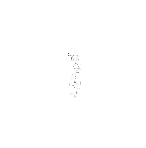 O=C(NCC(F)(F)F)Nc1cccc(-c2cnc3cc(-c4nccc(N5CCC5)n4)ccn23)c1